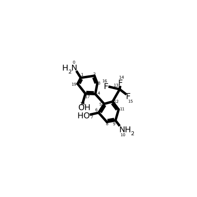 Nc1ccc(-c2c(O)cc(N)cc2C(F)(F)F)c(O)c1